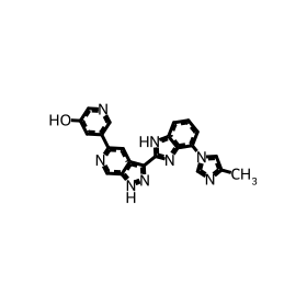 Cc1cn(-c2cccc3[nH]c(-c4n[nH]c5cnc(-c6cncc(O)c6)cc45)nc23)cn1